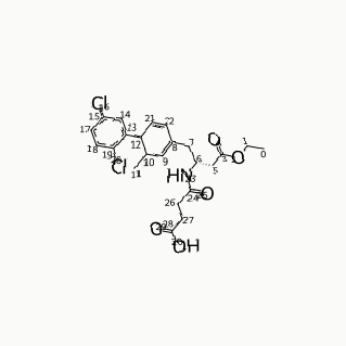 CCOC(=O)C[C@@H](CC1=CC(C)C(c2cc(Cl)ccc2Cl)C=C1)NC(=O)CCC(=O)O